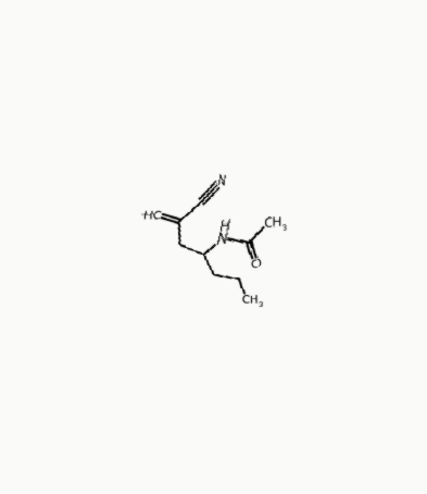 [CH]=C(C#N)CC(CCC)NC(C)=O